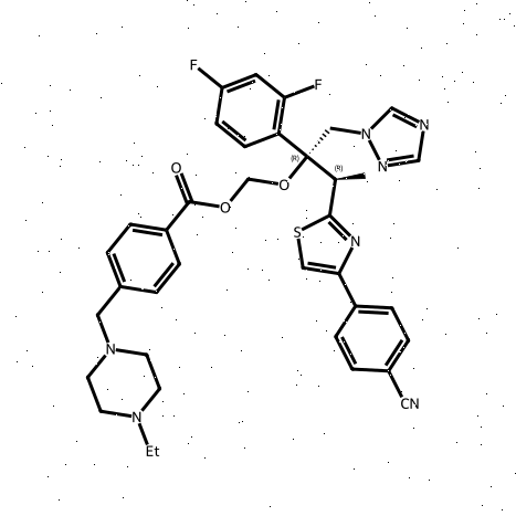 CCN1CCN(Cc2ccc(C(=O)OCO[C@@](Cn3cncn3)(c3ccc(F)cc3F)[C@@H](C)c3nc(-c4ccc(C#N)cc4)cs3)cc2)CC1